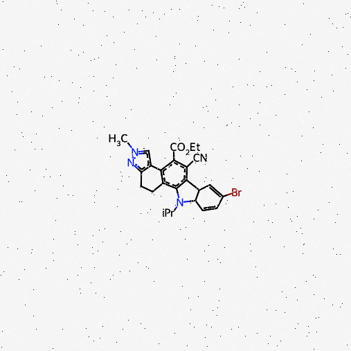 CCOC(=O)c1c(C#N)c2c(c3c1-c1cn(C)nc1CC3)N(C(C)C)C1C=CC(Br)=CC21